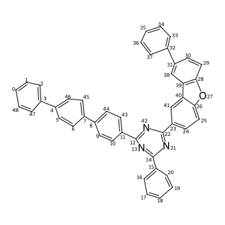 c1ccc(-c2ccc(-c3ccc(-c4nc(-c5ccccc5)nc(-c5ccc6oc7ccc(-c8ccccc8)cc7c6c5)n4)cc3)cc2)cc1